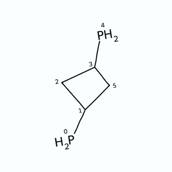 PC1CC(P)C1